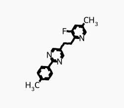 Cc1ccc(-c2ncc(CCc3ncc(C)cc3F)cn2)cc1